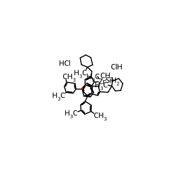 Cc1cc(C)cc(-c2cccc3c2C=C(CC2(C)CCCCC2)[CH]3[Zr]([CH3])([CH3])(=[SiH2])[CH]2C(CC3(C)CCCCC3)=Cc3c(-c4cc(C)cc(C)c4)cccc32)c1.Cl.Cl